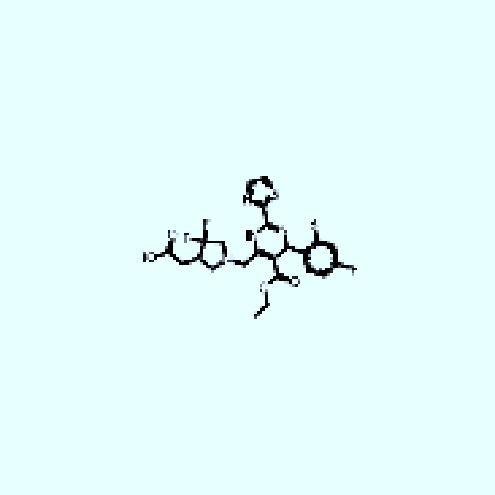 CCOC(=O)C1=C(CN2CC(CC(=O)O)C(F)(F)C2)NC(c2nccs2)=NC1c1ccc(F)cc1Br